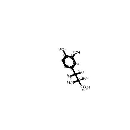 [2H]C([2H])(c1ccc(O)c(O)c1)[C@@]([2H])(N)C(=O)O